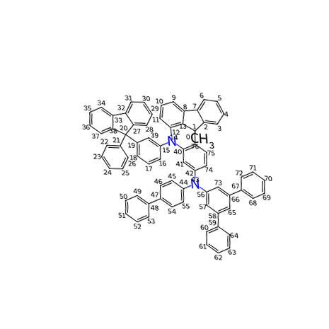 CC12c3ccccc3-c3cccc(c31)N(c1cccc(C3(c4ccccc4)c4ccccc4-c4ccccc43)c1)c1cc(N(c3ccc(-c4ccccc4)cc3)c3cc(-c4ccccc4)cc(-c4ccccc4)c3)ccc12